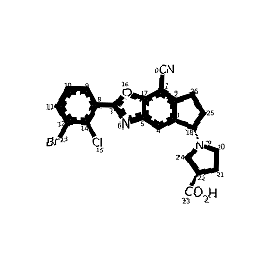 N#Cc1c2c(cc3nc(-c4cccc(Br)c4Cl)oc13)[C@@H](N1CC[C@@H](C(=O)O)C1)CC2